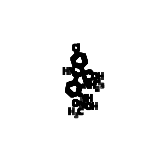 CCC(CO)(C(=N)c1cccc(N[N+](C)([O-])O)c1N)c1ccc(Cl)cc1